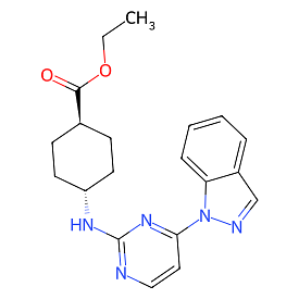 CCOC(=O)[C@H]1CC[C@H](Nc2nccc(-n3ncc4ccccc43)n2)CC1